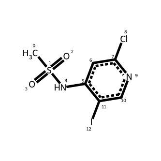 CS(=O)(=O)Nc1cc(Cl)ncc1I